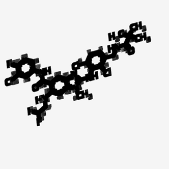 Cn1c(Nc2c(Cl)ccc(CNC(=O)C(C)(C)C)c2Cl)nc2cc(C(=O)Nc3ccc(F)c(Cl)c3)c(NCC(F)F)cc21